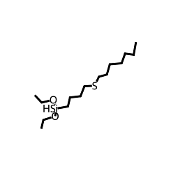 CCCCCCCSCCCC[SiH](OCC)OCC